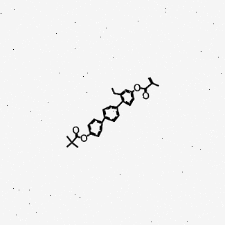 C=C(C)C(=O)Oc1ccc(-c2ccc(-c3ccc(OC(=O)C(C)(C)C)cc3)cc2)c(CC)c1